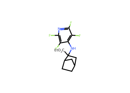 CCOC(=O)C1(Nc2c(F)c(F)nc(F)c2F)CC2CCC1C2